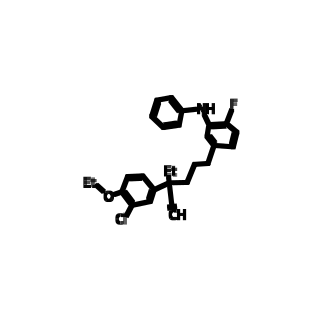 C#CC(CC)(CCCc1ccc(F)c(Nc2ccccc2)c1)c1ccc(OCC)c(Cl)c1